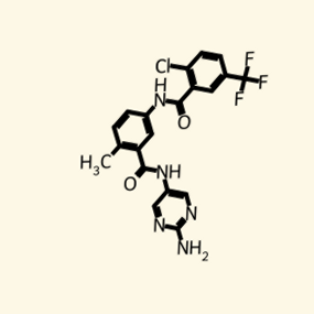 Cc1ccc(NC(=O)c2cc(C(F)(F)F)ccc2Cl)cc1C(=O)Nc1cnc(N)nc1